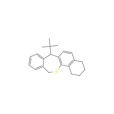 CC(C)(C)C1c2ccccc2CSc2c1ccc1c2CCCC1